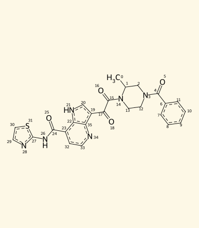 CC1CN(C(=O)c2ccccc2)CCN1C(=O)C(=O)c1c[nH]c2c(C(=O)Nc3nccs3)ccnc12